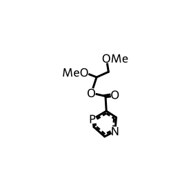 COCC(OC)OC(=O)c1cnccp1